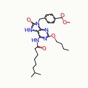 CCCCOc1nc(NC(=O)CCCCCC(C)C)c2[nH]c(=O)n(Cc3ccc(C(=O)OC)cc3)c2n1